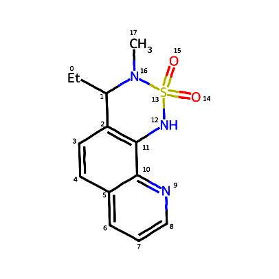 CCC1c2ccc3cccnc3c2NS(=O)(=O)N1C